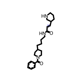 O=C(/C=C/C1CCCNC1)NCCCCC1CCN(C(=O)c2ccccc2)CC1